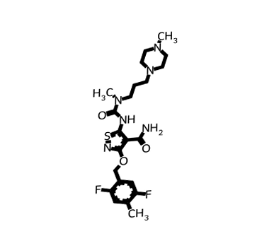 Cc1cc(F)c(COc2nsc(NC(=O)N(C)CCCN3CCN(C)CC3)c2C(N)=O)cc1F